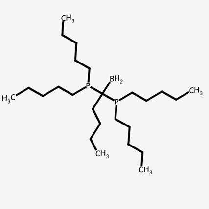 BC(CCCC)(P(CCCCC)CCCCC)P(CCCCC)CCCCC